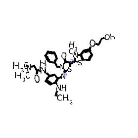 CCNc1ccc(NC(=O)CN(C)C)cc1/N=C1/S/C(=C2\Sc3ccc(OCCO)cc3N2C)C(=O)N1Cc1ccccc1